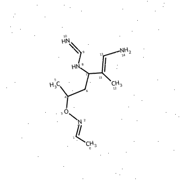 C/C=N/OC(C)CC(NC=N)/C(C)=C/N